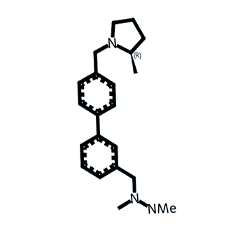 CNN(C)Cc1cccc(-c2ccc(CN3CCC[C@H]3C)cc2)c1